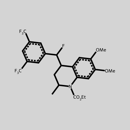 CCOC(=O)N1c2cc(OC)c(OC)cc2C(C(F)c2cc(C(F)(F)F)cc(C(F)(F)F)c2)CC1C